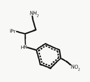 CC(C)C(CN)Nc1ccc([N+](=O)[O-])cc1